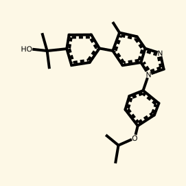 Cc1cc2ncn(-c3ccc(OC(C)C)cc3)c2cc1-c1ccc(C(C)(C)O)cc1